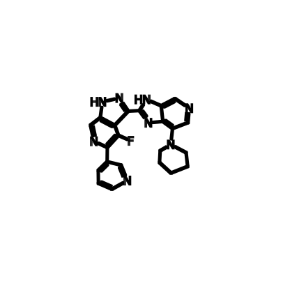 Fc1c(-c2cccnc2)ncc2[nH]nc(-c3nc4c(N5CCCCC5)cncc4[nH]3)c12